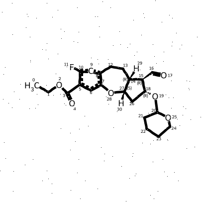 CCOC(=O)c1cc2c(cc1F)CC[C@@H]1[C@@H](C=O)[C@H](OC3CCCCO3)C[C@@H]1O2